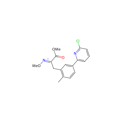 CO/N=C(\Cc1cc(-c2cccc(Cl)n2)ccc1C)C(=O)OC